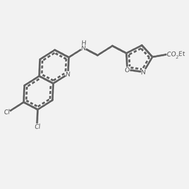 CCOC(=O)c1cc(CCNc2ccc3cc(Cl)c(Cl)cc3n2)on1